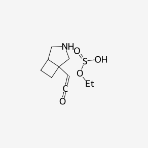 CCOS(=O)O.O=C=CC12CCC1CNC2